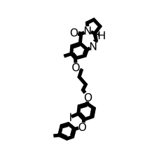 Cc1ccc(Oc2ccc(OCCCCOc3cc4c(cc3C)C(=O)N3CCC[C@H]3C=N4)cc2I)cc1